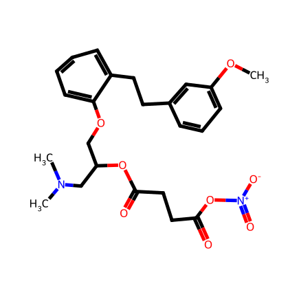 COc1cccc(CCc2ccccc2OCC(CN(C)C)OC(=O)CCC(=O)O[N+](=O)[O-])c1